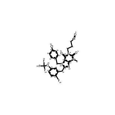 Cn1c(=O)n(CCCN=O)c(=O)c2c1nc(Cc1cc(OC(F)(F)F)ccc1F)n2Cc1ccc(Cl)cc1